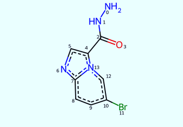 NNC(=O)c1cnc2ccc(Br)cn12